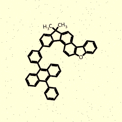 CC1(C)c2ccc(-c3cccc(-c4c5ccccc5c(-c5ccccc5)c5ccccc45)c3)cc2-c2c1ccc1c2ccc2oc3ccccc3c21